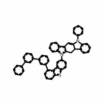 C1=C2C(Cc3c1c1ccccc1n3-c1ccc3sc4cccc(-c5cccc(-c6cccc(-c7ccccc7)c6)c5)c4c3c1)c1ccccc1N2c1ccccc1